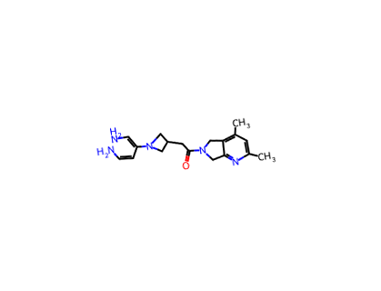 Cc1cc(C)c2c(n1)CN(C(=O)CC1CN(C(/C=C\N)=C/N)C1)C2